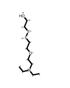 CCN(CC)CCOCCSSCCO